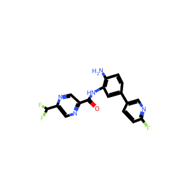 Nc1ccc(-c2ccc(F)nc2)cc1NC(=O)c1cnc(C(F)F)cn1